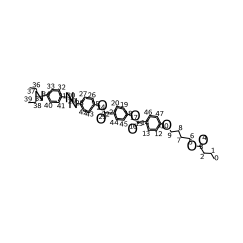 CCCC(=O)OCCCCOc1ccc(C(=O)Oc2ccc(C(=O)Oc3ccc(N=Nc4ccc(N(CC)CC)cc4)cc3)cc2)cc1